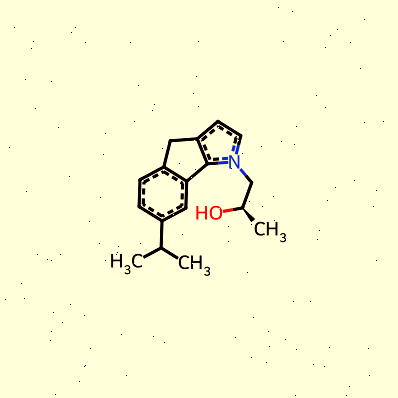 CC(C)c1ccc2c(c1)-c1c(ccn1C[C@@H](C)O)C2